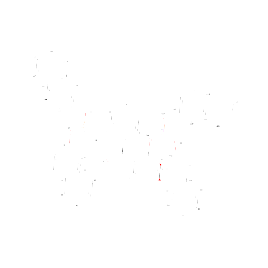 O=C(c1ccccc1OP(Oc1ccc2ccccc2c1)Oc1ccc2ccccc2c1)c1ccccc1OP(Oc1ccc2ccccc2c1)Oc1ccc2ccccc2c1